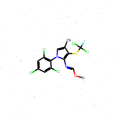 CCO/C=N/c1c(SC(F)(Cl)Cl)c(C#N)cn1-c1c(Cl)cc(Cl)cc1Cl